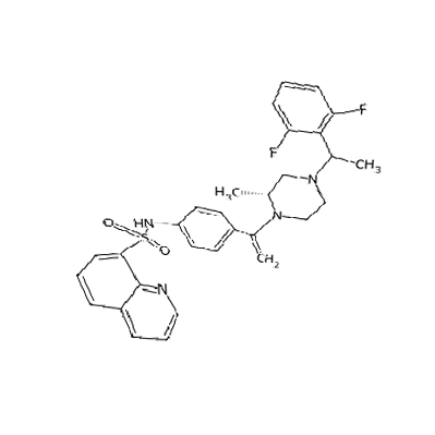 C=C(c1ccc(NS(=O)(=O)c2cccc3cccnc23)cc1)N1CCN(C(C)c2c(F)cccc2F)C[C@H]1C